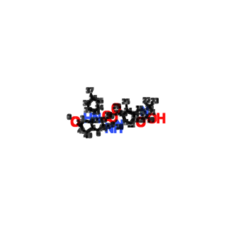 COc1ccc(C[C@H](Nc2nc3ccc(CN(C(=O)O)C(C)(C)C)c(C)c3c(=O)o2)C(=O)Nc2ccc(C)cc2)cc1